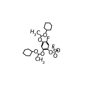 CC(Oc1cc(OC(C)OC2CCCCC2)c(OS(=O)(=O)F)cc1F)OC1CCCCC1